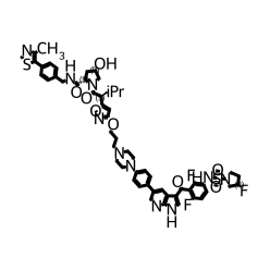 Cc1ncsc1-c1ccc(CNC(=O)[C@@H]2C[C@@H](O)CN2C(=O)[C@H](c2cc(OCCCN3CCN(c4ccc(-c5cnc6[nH]cc(C(=O)c7c(F)ccc(NS(=O)(=O)N8CC[C@@H](F)C8)c7F)c6c5)cc4)CC3)no2)C(C)C)cc1